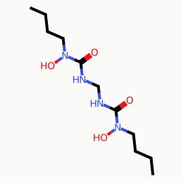 CCCCN(O)C(=O)NCNC(=O)N(O)CCCC